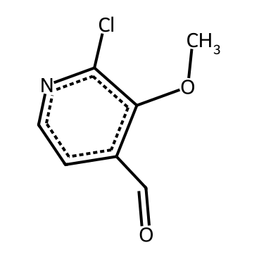 COc1c(C=O)ccnc1Cl